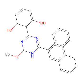 CCOC1N=C(C2C(O)=CC=CC2O)N=C(c2cc3c(c4ccccc24)CCC=C3)N1